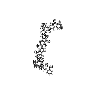 O=C1C(=O)c2ccccc2/C1=C/c1nc2c3nsnc3c3nc(/C=C4\C(=O)C(=O)c5cc(-c6c(F)cc7c(c6F)C(=O)C(=O)/C7=C\c6nc7c8nsnc8c8nc(/C=C9\C(=O)C(=O)c%10c(F)cc(F)cc%109)sc8c7s6)ccc54)sc3c2s1